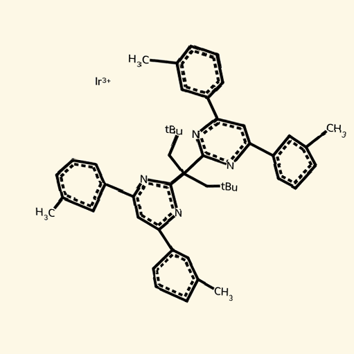 Cc1cccc(-c2cc(-c3cccc(C)c3)nc(C(CC(C)(C)C)(CC(C)(C)C)c3nc(-c4cccc(C)c4)cc(-c4cccc(C)c4)n3)n2)c1.[Ir+3]